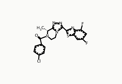 C[C@@H]1c2nnc(-c3nc4c(F)cc(F)cc4s3)n2CCN1C(=O)c1ccc(Cl)cc1